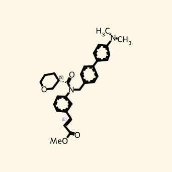 COC(=O)/C=C/c1cccc(N(Cc2ccc(-c3ccc(N(C)C)cc3)cc2)C(=O)[C@H]2CCCOC2)c1